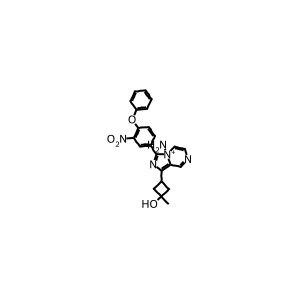 CC1(O)CC(C2=C3C=NC=C[N+]3(N)C(c3ccc(Oc4ccccc4)c([N+](=O)[O-])c3)=N2)C1